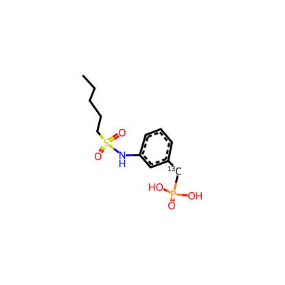 CCCCCS(=O)(=O)Nc1cccc([13CH2]P(=O)(O)O)c1